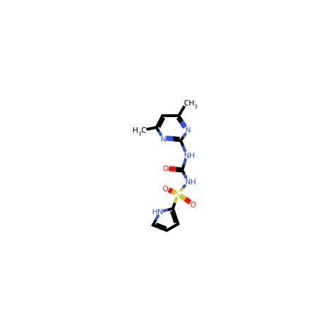 Cc1cc(C)nc(NC(=O)NS(=O)(=O)c2ccc[nH]2)n1